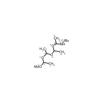 COC(C)OC(C)OC(C)OC(C)NC(C)(C)C